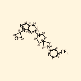 FC(F)(F)c1ccnc(N2CC3(CCN(c4ncc5cnn(C6COC6)c5n4)CC3)C2)c1